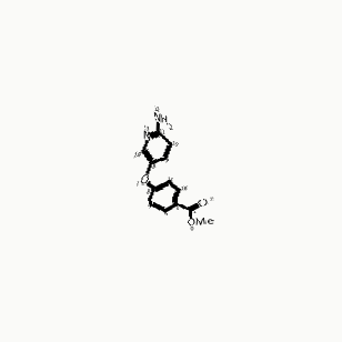 COC(=O)c1ccc(Oc2ccc(N)nc2)cc1